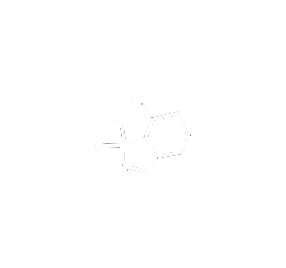 O=S1(=O)N=Cc2cccc(Cl)c21